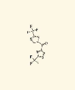 O=C(c1csc(C(F)(F)F)n1)c1csc(C(F)(F)F)n1